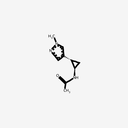 CC(=O)N[C@@H]1C[C@H]1c1cnn(C)c1